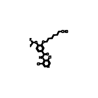 O=CCCCCCCOc1cc(C(=O)Nc2c(Cl)cncc2Cl)ccc1OC(F)F